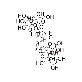 C=C1C[C@@]23CC[C@H]4[C@@](C)(CCC[C@@]4(C)C(=O)OC4O[C@H](CO)[C@@H](O)[C@H](O)[C@H]4O[C@@H]4O[C@H](CO)[C@@H](O)[C@H](O)[C@H]4O)[C@@H]2CC[C@]1(O[C@@H]1O[C@H](CO)[C@@H](O)[C@H](OCC2OC[C@@H](O)C[C@H]2O)[C@H]1O[C@@H]1O[C@H](CO)[C@@H](O)[C@H](O)[C@H]1O)C3